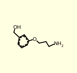 NCCCOc1cccc(CO)c1